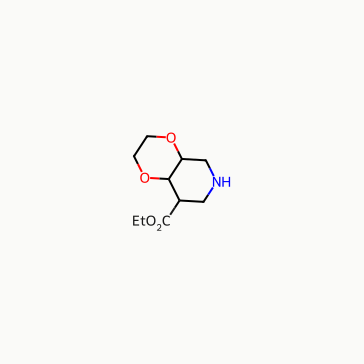 CCOC(=O)C1CNCC2OCCOC21